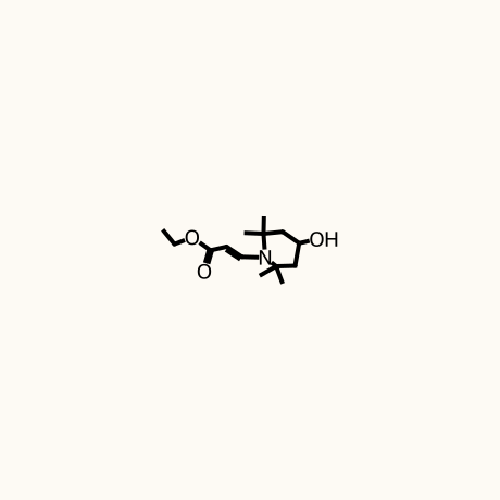 CCOC(=O)C=CN1C(C)(C)CC(O)CC1(C)C